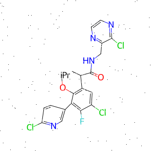 CC(C)Oc1c(C(C)C(=O)NCc2nccnc2Cl)cc(Cl)c(F)c1-c1ccc(Cl)nc1